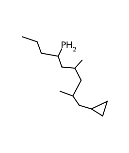 CCCC(P)CC(C)CC(C)CC1CC1